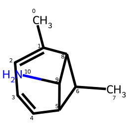 CC1=CC=CC2C(C)C1C2N